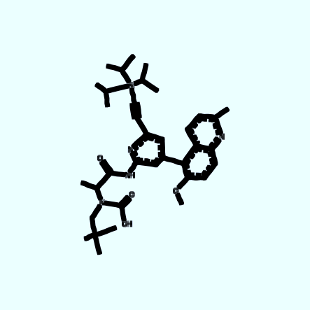 COc1ccc2nc(C)ccc2c1-c1cc(C#C[Si](C(C)C)(C(C)C)C(C)C)nc(NC(=O)C(C)N(CC(C)(C)C)C(=O)O)c1